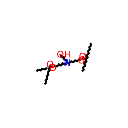 CCCCCCCCC(CCCCCC)C(=O)OCCCCCCN(CCCCO)CCCCCCOC(=O)[C@H](CCCCCC)CCCCCCCC